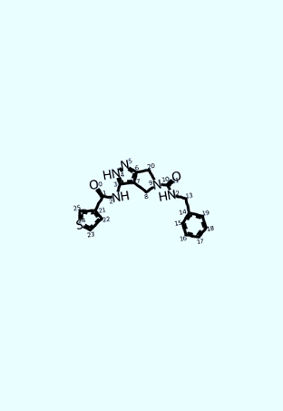 O=C(Nc1[nH]nc2c1CN(C(=O)NCc1ccccc1)C2)c1ccsc1